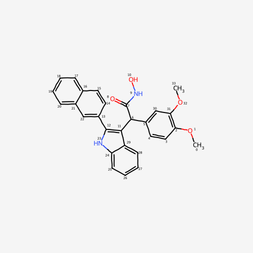 COc1ccc(C(C(=O)NO)c2c(-c3ccc4ccccc4c3)[nH]c3ccccc23)cc1OC